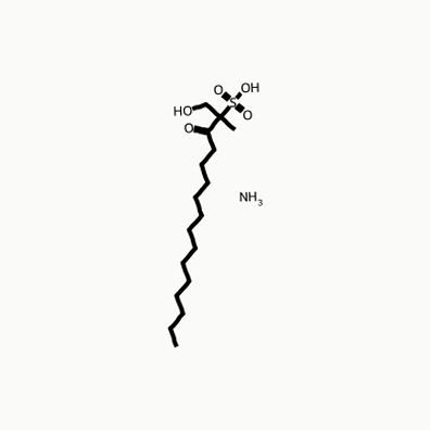 CCCCCCCCCCCCCC(=O)C(C)(CO)S(=O)(=O)O.N